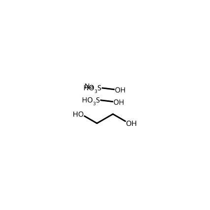 O=S(=O)(O)O.O=S(=O)(O)O.OCCO.[Na]